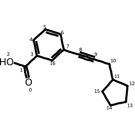 O=C(O)c1cccc(C#CCC2CCCC2)c1